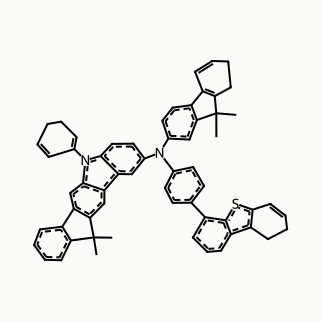 CC1(C)C2=C(C=CCC2)c2ccc(N(c3ccc(-c4cccc5c6c(sc45)C=CCC6)cc3)c3ccc4c(c3)c3cc5c(cc3n4C3=CCCC=C3)-c3ccccc3C5(C)C)cc21